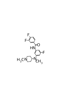 CN1CCC(N(C)c2cc(F)cc(NC(=O)c3ccc(F)c(F)c3)c2)CC1